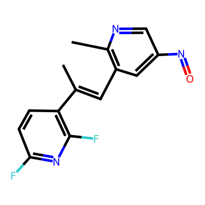 C/C(=C\c1cc(N=O)cnc1C)c1ccc(F)nc1F